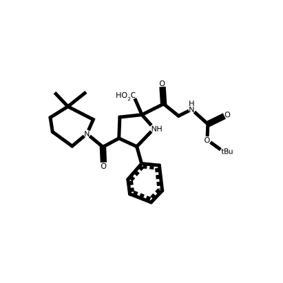 CC1(C)CCCN(C(=O)C2CC(C(=O)O)(C(=O)CNC(=O)OC(C)(C)C)NC2c2ccccc2)C1